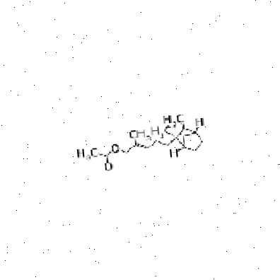 C=C1[C@@H]2CC[C@@H](C2)[C@@]1(C)CC/C=C(\C)COC(C)=O